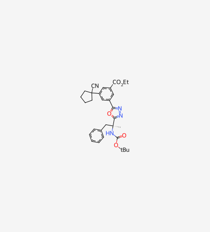 CCOC(=O)c1cc(-c2nnc([C@](C)(Cc3ccccc3)NC(=O)OC(C)(C)C)o2)cc(C2(C#N)CCCC2)c1